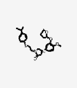 COc1ccc([C@@H]2CC(=O)N(CCSc3ccc(C(C)C)cc3)C2)cc1OC1CCCO1